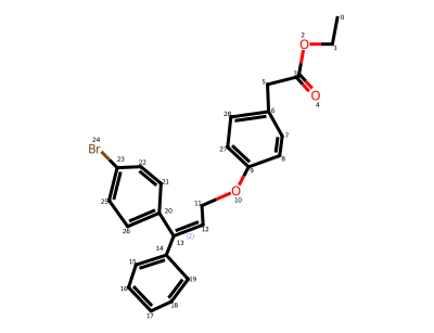 CCOC(=O)Cc1ccc(OC/C=C(/c2ccccc2)c2ccc(Br)cc2)cc1